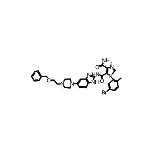 Cc1ccc(Br)cc1-n1cnc(C(N)=O)c1C(=O)Nc1nc2cc(N3CCN(CCOCc4ccccc4)CC3)ccc2[nH]1